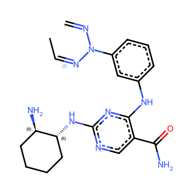 C=NN(/N=C\C)c1cccc(Nc2nc(N[C@@H]3CCCC[C@H]3N)ncc2C(N)=O)c1